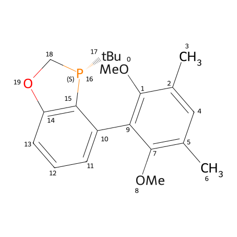 COc1c(C)cc(C)c(OC)c1-c1cccc2c1[P@@](C(C)(C)C)CO2